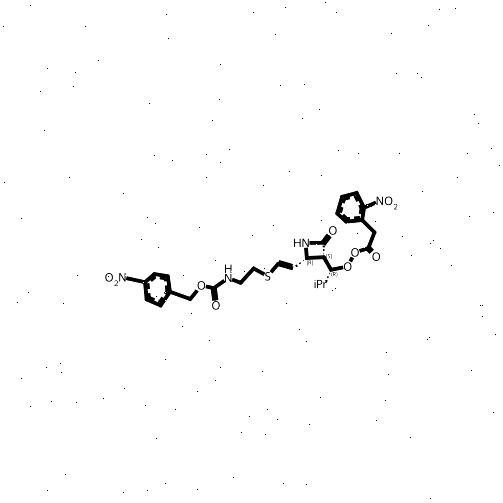 CC(C)[C@@H](OOC(=O)Cc1ccccc1[N+](=O)[O-])[C@H]1C(=O)N[C@H]1C=CSCCNC(=O)OCc1ccc([N+](=O)[O-])cc1